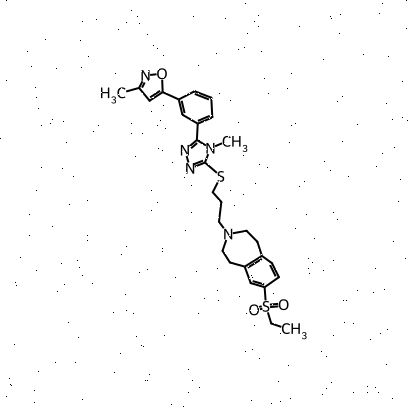 CCS(=O)(=O)c1ccc2c(c1)CCN(CCCSc1nnc(-c3cccc(-c4cc(C)no4)c3)n1C)CC2